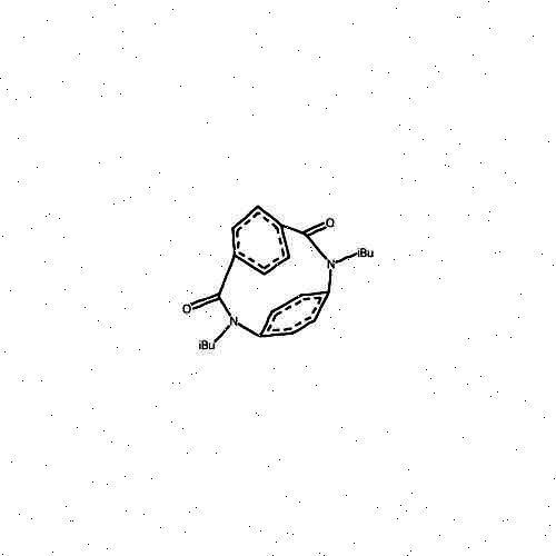 CCC(C)N1C(=O)c2ccc(cc2)C(=O)N(C(C)CC)c2ccc1cc2